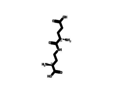 N[C@@H](CCNC(=O)[C@@H](N)CCC(=O)O)C(=O)O